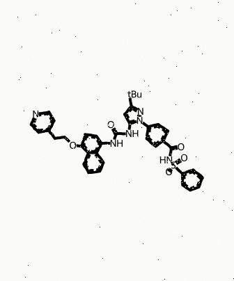 CC(C)(C)c1cc(NC(=O)Nc2ccc(OCCc3ccncc3)c3ccccc23)n(-c2ccc(C(=O)NS(=O)(=O)c3ccccc3)cc2)n1